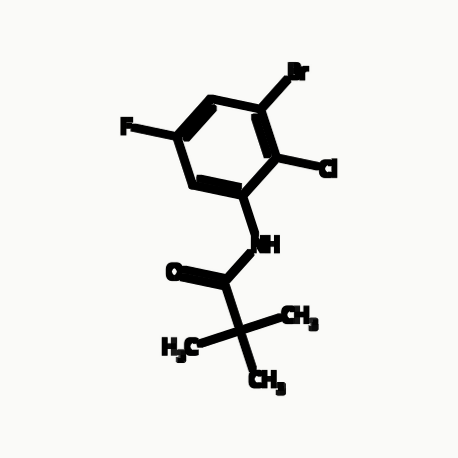 CC(C)(C)C(=O)Nc1cc(F)cc(Br)c1Cl